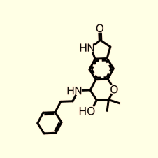 CC1(C)Oc2cc3c(cc2C(NCCC2=CCCC=C2)C1O)NC(=O)C3